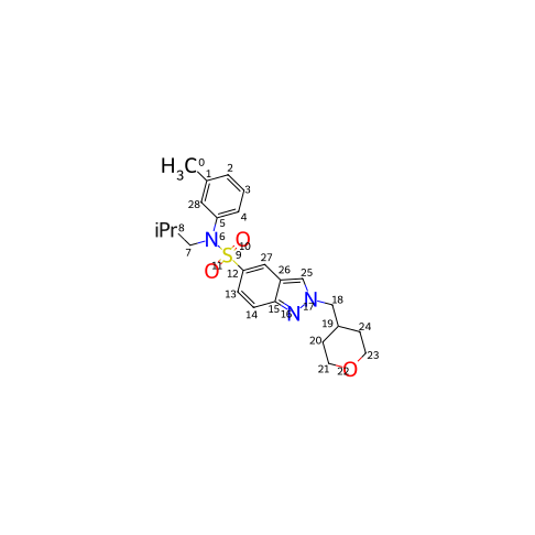 Cc1cccc(N(CC(C)C)S(=O)(=O)c2ccc3nn(CC4CCOCC4)cc3c2)c1